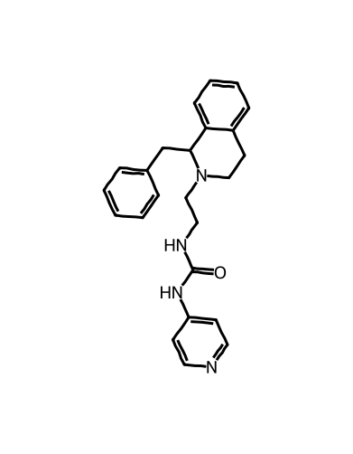 O=C(NCCN1CCc2ccccc2C1Cc1ccccc1)Nc1ccncc1